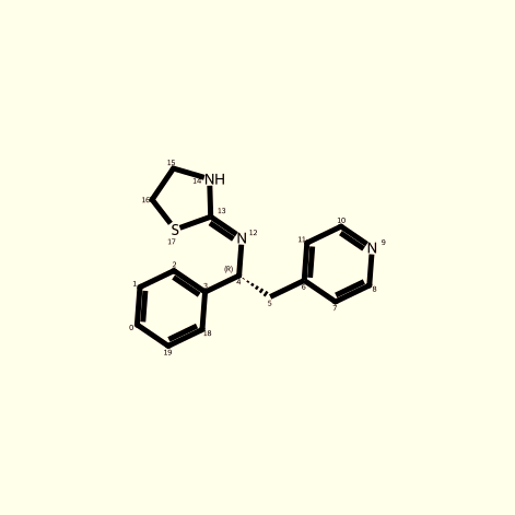 c1ccc([C@@H](Cc2ccncc2)N=C2NCCS2)cc1